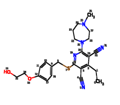 CCc1c(C#N)c(SCc2ccc(OCCO)cc2)nc(N2CCCN(C)CC2)c1C#N